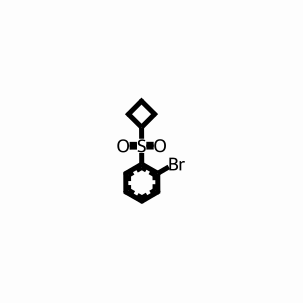 O=S(=O)(c1ccccc1Br)C1CCC1